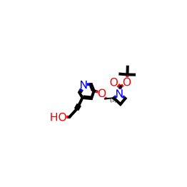 CC(C)(C)OC(=O)N1CC[C@H]1COc1cncc(C#CCO)c1